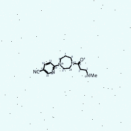 CNCCC(=O)N1CCCN(c2ccc(C#N)cn2)CC1